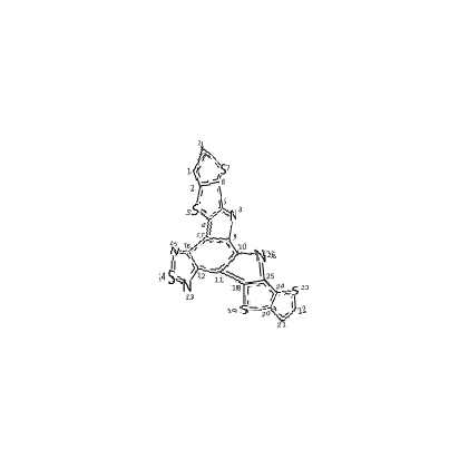 c1cc2sc3c(c2s1)=Nc1c2c(c4nsnc4c1=3)=c1sc3ccsc3c1=N2